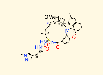 CO[C@H]1/C=C/C[C@H](C)C[S@@](=O)(NC(=O)N[C@@H]2C[C@H]2c2cnn(C)c2)=NC(=O)c2ccc3c(c2)N(C[C@@H]2CC[C@H]21)C[C@@]1(CCCc2cc(C)ccc21)CO3